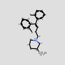 Cc1ccccc1C(=CCCN1CCCC(C(=O)O)C1)c1ccccc1C